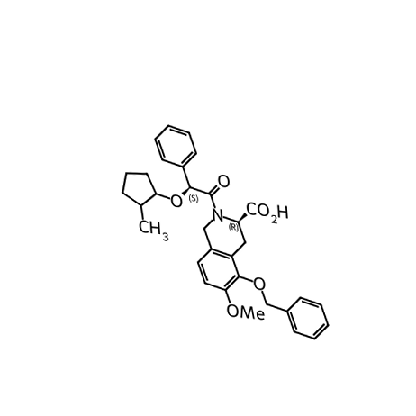 COc1ccc2c(c1OCc1ccccc1)C[C@H](C(=O)O)N(C(=O)[C@@H](OC1CCCC1C)c1ccccc1)C2